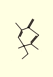 CCOC(=O)CC1(O)C=C(Cl)C(=O)C=C1Cl